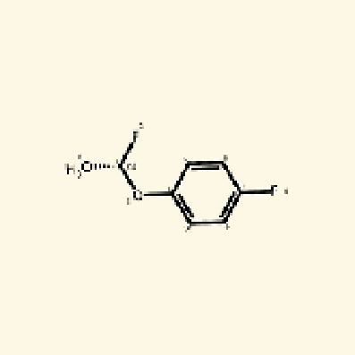 C[C@H](F)Oc1ccc(F)cc1